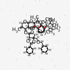 CC1O[C@@H](O[Si](C(C)C)(C(C)C)C(C)C)[C@@H](C)C(O)[C@H]1O[C@@H]1OC[C@@H](C)C(O[C@@H]2OC[C@]3(COCc4ccccc4)O[C@@H](c4ccccc4)OC23)[C@H]1OCc1ccccc1